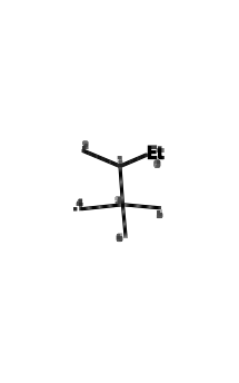 [CH2]CC(C)C([CH2])(C)C